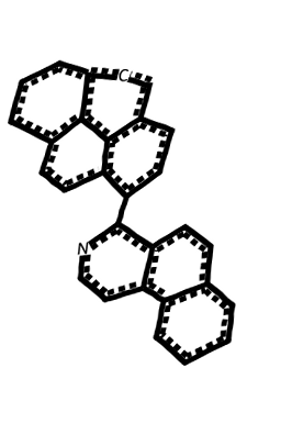 c1ccc2c(c1)ccc1c(-c3ccc4ccc5cccc6ccc3c4c56)nccc12